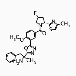 COc1ccc(C(=O)N2C[C@@H](F)C[C@@H]2c2nc(C)cs2)cc1-c1nnc(C(C)(N)Cc2ccccc2)o1